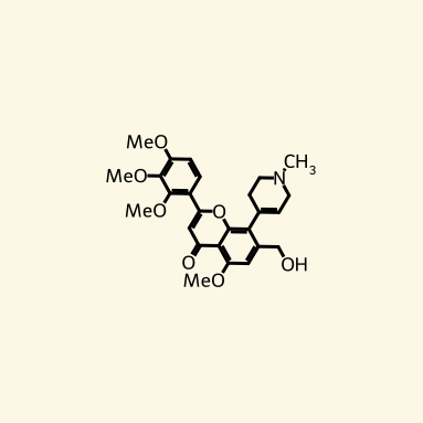 COc1ccc(-c2cc(=O)c3c(OC)cc(CO)c(C4=CCN(C)CC4)c3o2)c(OC)c1OC